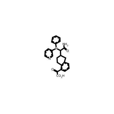 NC(=O)C(C1CCc2c(cccc2C(=O)C(=O)O)C1)N(c1ccccc1)c1cccnc1